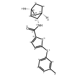 Cc1cccc(Sc2ccc(C(=O)N[C@@H]3C[C@H]4CC[C@@H]3N4)s2)c1